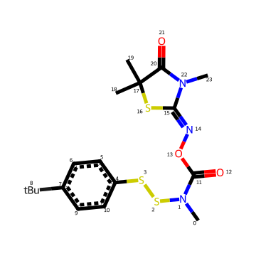 CN(SSc1ccc(C(C)(C)C)cc1)C(=O)ON=C1SC(C)(C)C(=O)N1C